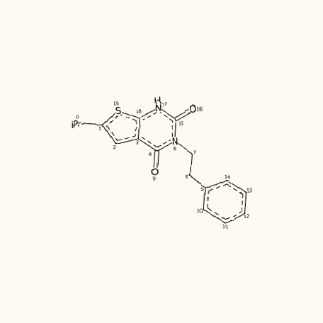 CC(C)c1cc2c(=O)n(CCc3ccccc3)c(=O)[nH]c2s1